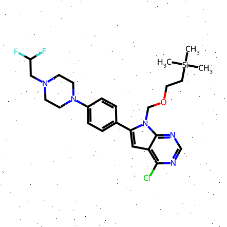 C[Si](C)(C)CCOCn1c(-c2ccc(N3CCN(CC(F)F)CC3)cc2)cc2c(Cl)ncnc21